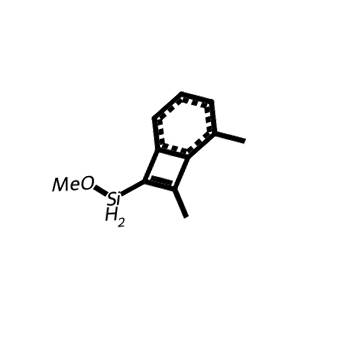 CO[SiH2]C1=C(C)c2c(C)cccc21